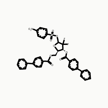 O=C(OC[C@H]1OC(OS(=O)(=O)c2ccc([N+](=O)[O-])cc2)C(F)(F)[C@@H]1OC(=O)c1ccc(-c2ccccc2)cc1)c1ccc(-c2ccccc2)cc1